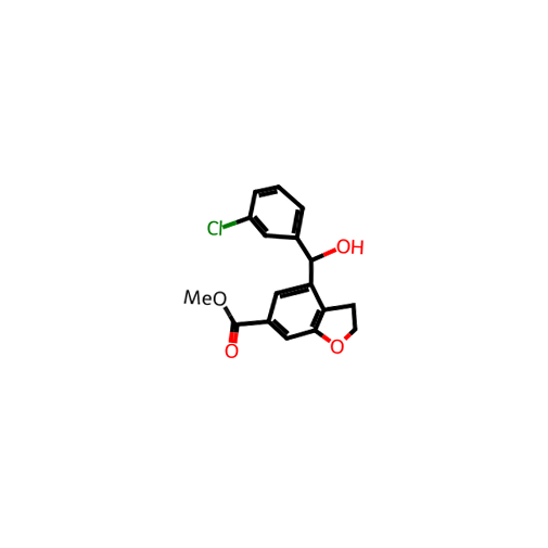 COC(=O)c1cc2c(c(C(O)c3cccc(Cl)c3)c1)CCO2